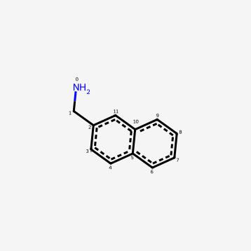 NCc1[c]cc2ccccc2c1